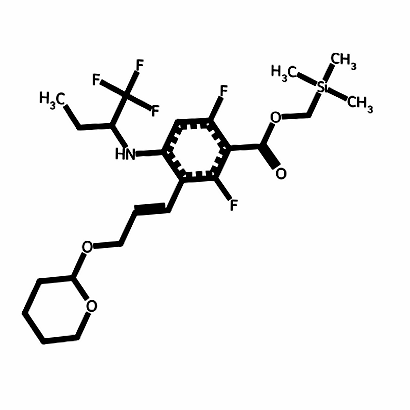 CCC(Nc1cc(F)c(C(=O)OC[Si](C)(C)C)c(F)c1/C=C/COC1CCCCO1)C(F)(F)F